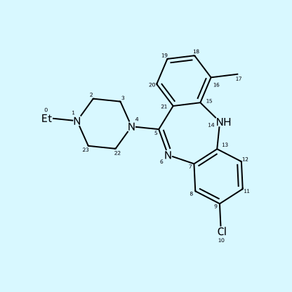 CCN1CCN(C2=Nc3cc(Cl)ccc3Nc3c(C)cccc32)CC1